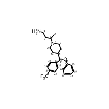 CC(CCN)N1CCC([C@@H](Oc2ccccc2)c2ccc(C(F)(F)F)cc2)CC1